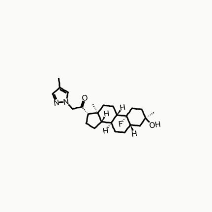 Cc1cnn(CC(=O)[C@H]2CC[C@H]3[C@@H]4CC[C@H]5C[C@](C)(O)CC[C@]5(F)[C@H]4CC[C@]23C)c1